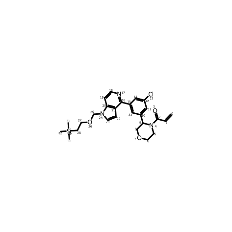 C=CC(=O)N1CCOCC1c1cc(Cl)cc(-c2nccc3c2ccn3COCC[Si](C)(C)C)c1